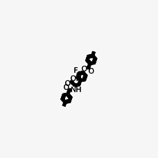 Cc1ccc(C(=O)NC(Cc2ccc(OC(=O)c3ccc(C)cc3)c(F)c2)C(=O)O)cc1